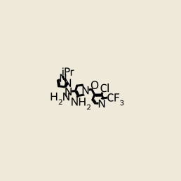 CC(C)n1ccc(N(N)C2=C(N)CN(C(=O)c3ccnc(C(F)(F)F)c3Cl)CC2)n1